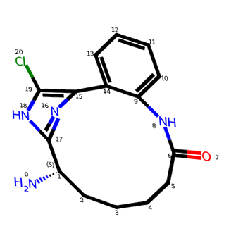 N[C@H]1CCCCC(=O)Nc2ccccc2-c2nc1[nH]c2Cl